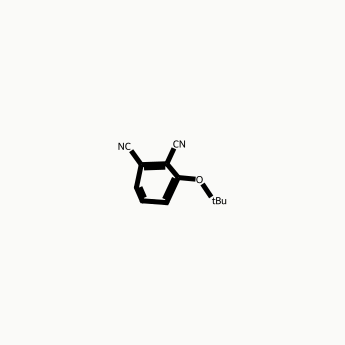 CC(C)(C)Oc1cccc(C#N)c1C#N